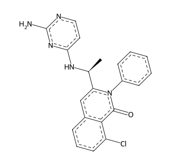 C[C@H](Nc1ccnc(N)n1)c1cc2cccc(Cl)c2c(=O)n1-c1ccccc1